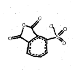 O=C1OC(=O)c2c1cccc2S(=O)(=O)Cl